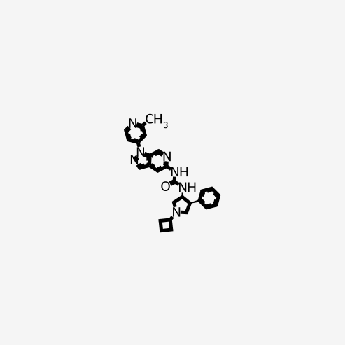 Cc1cc(-n2ncc3cc(NC(=O)N[C@H]4CN(C5CCC5)C[C@@H]4c4ccccc4)ncc32)ccn1